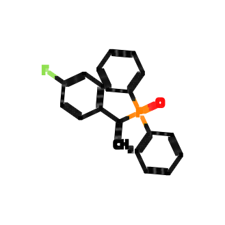 C=C(c1ccc(F)cc1)P(=O)(c1ccccc1)c1ccccc1